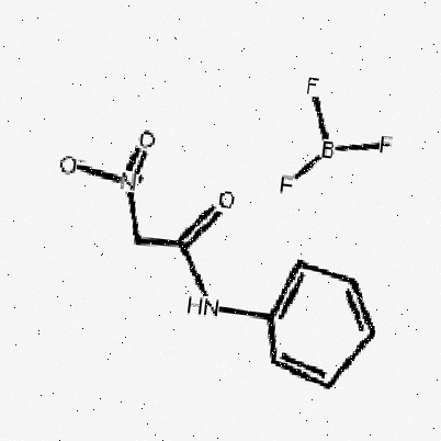 FB(F)F.O=C(C[N+](=O)[O-])Nc1ccccc1